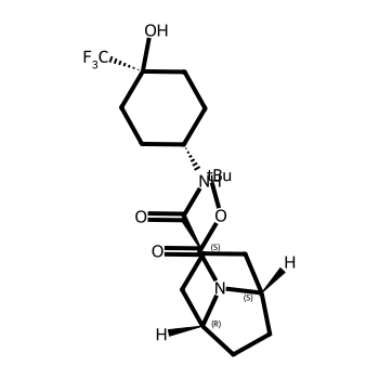 CC(C)(C)OC(=O)N1[C@@H]2CC[C@H]1C[C@H](C(=O)N[C@H]1CC[C@@](O)(C(F)(F)F)CC1)C2